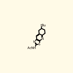 CC(=O)Nc1nc2cc3c(nc2s1)CCC(C(C)(C)C)C3